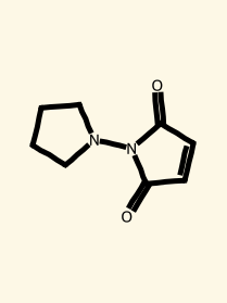 O=C1C=CC(=O)N1N1CCCC1